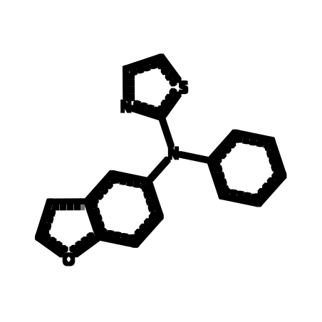 c1ccc(N(c2ccc3occc3c2)c2nccs2)cc1